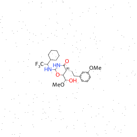 COc1cccc(CC[C@H]2C(=O)NC(NC(C3CCCCC3)C(F)(F)F)OC2C(O)OC)c1